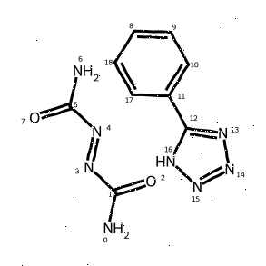 NC(=O)/N=N/C(N)=O.c1ccc(-c2nnn[nH]2)cc1